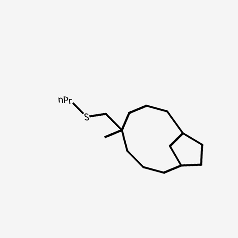 CCCSCC1(C)CCCC2CCC(CCC1)C2